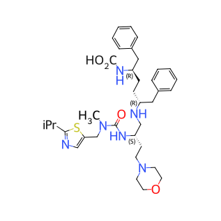 CC(C)c1ncc(CN(C)C(=O)N[C@@H](CCN2CCOCC2)CN[C@H](CC[C@H](Cc2ccccc2)NC(=O)O)Cc2ccccc2)s1